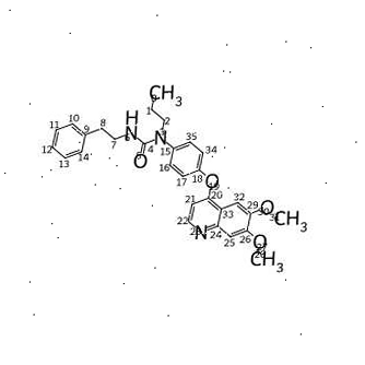 CCCN(C(=O)NCCc1ccccc1)c1ccc(Oc2ccnc3cc(OC)c(OC)cc23)cc1